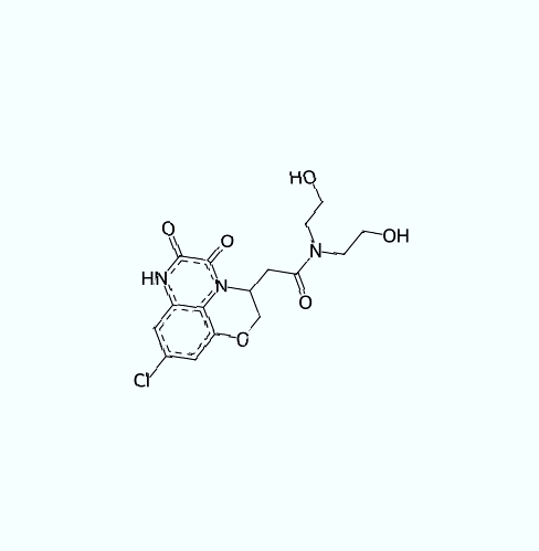 O=C(CC1COc2cc(Cl)cc3[nH]c(=O)c(=O)n1c23)N(CCO)CCO